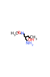 COC/N=C\CC(CCN)CC(C)O